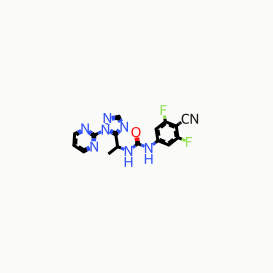 CC(NC(=O)Nc1cc(F)c(C#N)c(F)c1)c1ncnn1-c1ncccn1